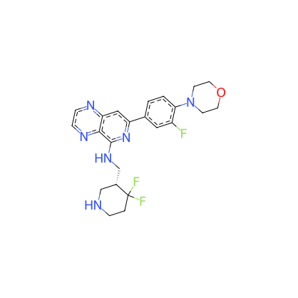 Fc1cc(-c2cc3nccnc3c(NC[C@H]3CNCCC3(F)F)n2)ccc1N1CCOCC1